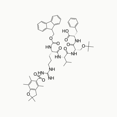 Cc1c(C)c(S(=O)(=O)NC(=N)NCCC[C@H](NC(=O)OCC2c3ccccc3-c3ccccc32)C(=O)N[C@H](C(=O)N[C@@H](COC(C)(C)C)C(=O)N[C@@H](Cc2ccccc2)C(=O)O)C(C)C)c(C)c2c1OC(C)(C)C2